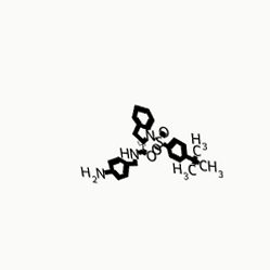 CC(C)(C)c1ccc(S(=O)(=O)N2c3ccccc3C[C@H]2C(=O)NCc2ccc(N)cc2)cc1